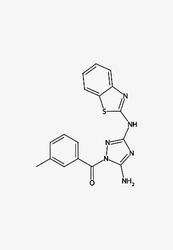 Cc1cccc(C(=O)n2nc(Nc3nc4ccccc4s3)nc2N)c1